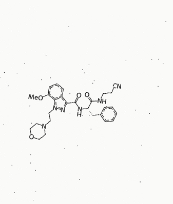 COc1cccc2c(C(=O)N[C@@H](Cc3ccccc3)C(=O)NCCC#N)nn(CCN3CCOCC3)c12